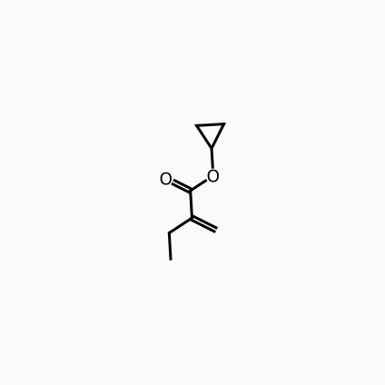 C=C(CC)C(=O)OC1CC1